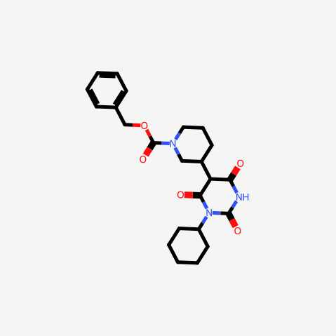 O=C1NC(=O)N(C2CCCCC2)C(=O)C1C1CCCN(C(=O)OCc2ccccc2)C1